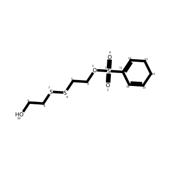 O=S(=O)(OCCSSCCO)C1=CCCC=C1